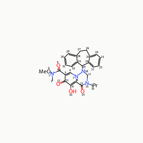 CON(C)C(=O)c1cn2c(c(O)c1=O)C(=O)N(C(C)C)CN2C1c2ccccc2CCc2ccccc21